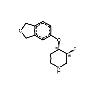 F[C@H]1CNCC[C@H]1Oc1ccc2c(c1)COC2